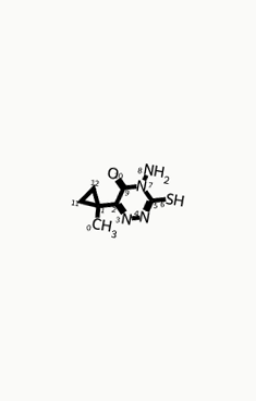 CC1(c2nnc(S)n(N)c2=O)CC1